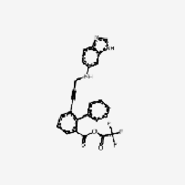 O=C(OC(=O)C(F)(F)F)c1cccc(C#CCNc2ccc3nc[nH]c3c2)c1-c1ccccc1